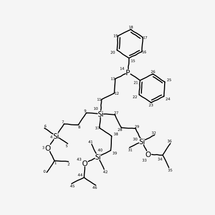 CC(C)O[Si](C)(C)CCC[Si](CCCP(c1ccccc1)c1ccccc1)(CCC[Si](C)(C)OC(C)C)CCC[Si](C)(C)OC(C)C